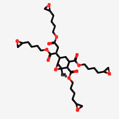 CC12OC1C(C(CC(=O)OCCCCC1CO1)C(=O)OCCCCC1CO1)CC(C(=O)OCCCCC1CO1)C2C(=O)OCCCCC1CO1